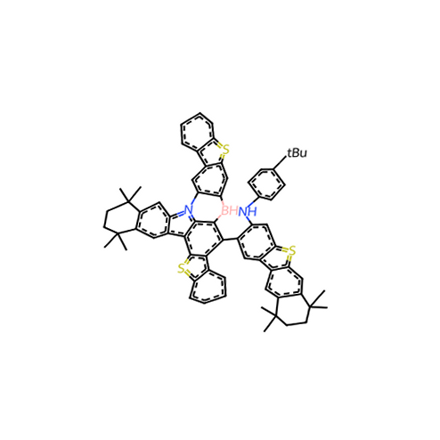 CC(C)(C)c1ccc(Nc2cc3sc4cc5c(cc4c3cc2-c2c3c4c(c6cc7c(cc6n4-c4cc6c(cc4B3)sc3ccccc36)C(C)(C)CCC7(C)C)c3sc4ccccc4c23)C(C)(C)CCC5(C)C)cc1